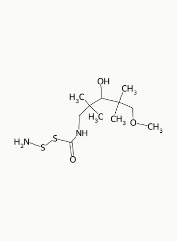 COCC(C)(C)C(O)C(C)(C)CNC(=O)SSN